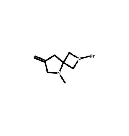 C=C1CN(C)C2(C1)CN(C(C)C)C2